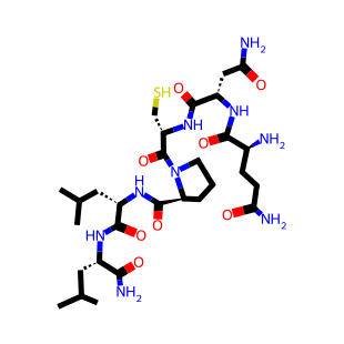 CC(C)C[C@H](NC(=O)[C@H](CC(C)C)NC(=O)[C@@H]1CCCN1C(=O)[C@H](CS)NC(=O)[C@H](CC(N)=O)NC(=O)[C@@H](N)CCC(N)=O)C(N)=O